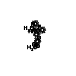 C/C(=N\Nc1ccc(Oc2ccc(S(C)(=O)=O)cc2)cc1Oc1ccccc1F)c1ccccn1